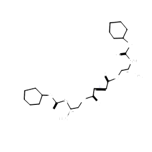 C[C@H](COC(=O)/C=C/C(=O)OC[C@@H](C)NC(=O)OC1CCCCC1)NC(=O)OC1CCCCC1